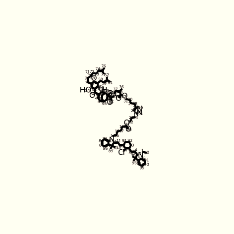 CC[N+]1=C(/C=C/C2=C(Cl)C(=C/C=C3/N(CCCCCC(=O)OCCCn4cc(CCCCOC(=O)/C(C)=C\OOC5(C(C)C)C(=O)C6C/C=C7/C(=O)c8c(O)c9c(c(CC=C(C)C)c8O[C@H]7C5CC6)O[C@](C)(CCC=C(C)C)C=C9)nn4)c4ccccc4C3(C)C)/CCC2)C(C)(C)c2ccccc21